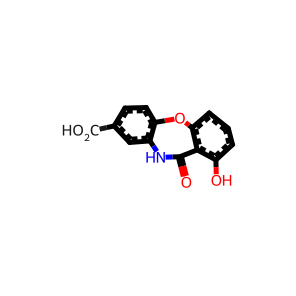 O=C(O)c1ccc2c(c1)NC(=O)c1c(O)cccc1O2